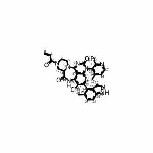 C=CC(=O)N1CCN2c3nc(=O)n(-c4c(C)ccnc4C(C)C)c4nc(-c5c(C)ccc6[nH]ncc56)c(Cl)c(c34)NC(=O)C2C1